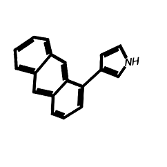 c1ccc2cc3c(-c4cc[nH]c4)cccc3cc2c1